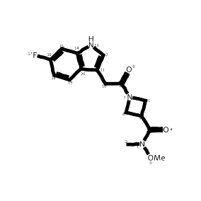 CON(C)C(=O)C1CN(C(=O)Cc2c[nH]c3cc(F)ccc23)C1